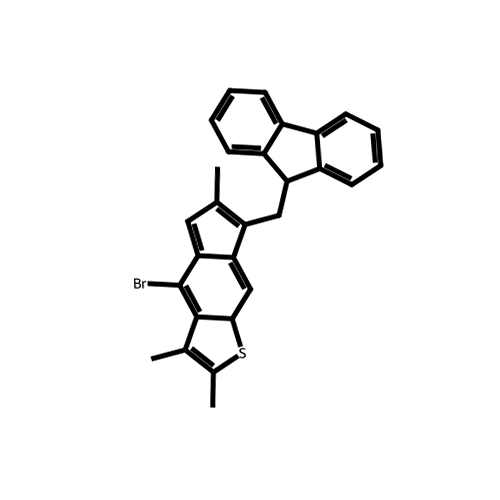 CC1=C(CC2c3ccccc3-c3ccccc32)C2=CC3SC(C)=C(C)C3=C(Br)C2=C1